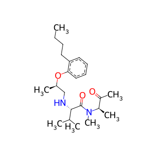 CCCCc1ccccc1O[C@H](C)CN[C@H](C(=O)N(C)[C@H](C)C(C)=O)C(C)C